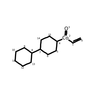 C=[CH][Co](=[O])[CH]1CCC(C2CCCCC2)CC1